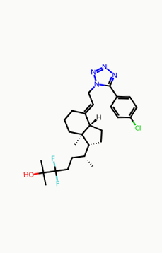 C[C@H](CCC(F)(F)C(C)(C)O)[C@H]1CC[C@H]2/C(=C/Cn3nnnc3-c3ccc(Cl)cc3)CCC[C@]12C